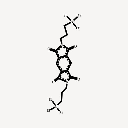 CC[N+](CC)(CC)CCCn1c(=O)c2cc3c(=O)n(CCC[N+](CC)(CC)CC)c(=O)c3cc2c1=O